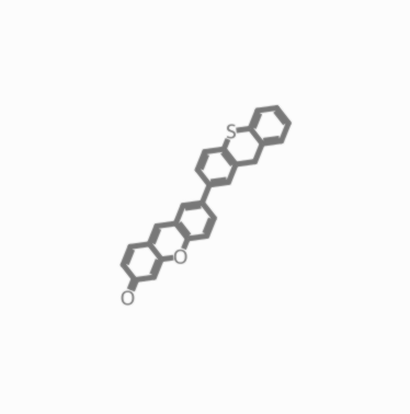 O=c1ccc2cc3cc(-c4ccc5c(c4)Cc4ccccc4S5)ccc3oc-2c1